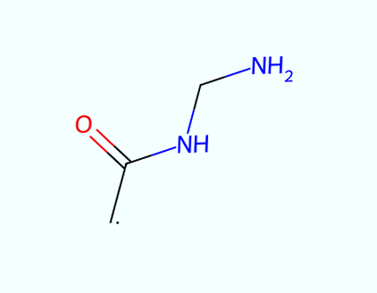 [CH2]C(=O)NCN